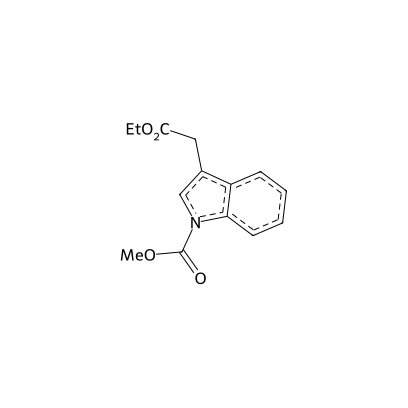 CCOC(=O)Cc1cn(C(=O)OC)c2ccccc12